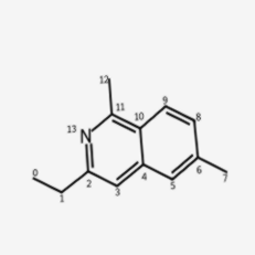 CCc1cc2cc(C)ccc2c(C)n1